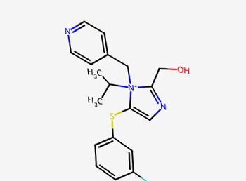 CC(C)[N+]1(Cc2ccncc2)C(Sc2cccc(F)c2)=CN=C1CO